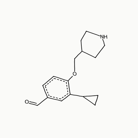 O=Cc1ccc(OCC2CCNCC2)c(C2CC2)c1